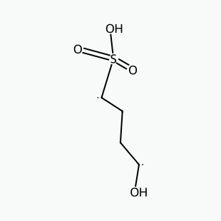 O=S(=O)(O)[CH]CC[CH]O